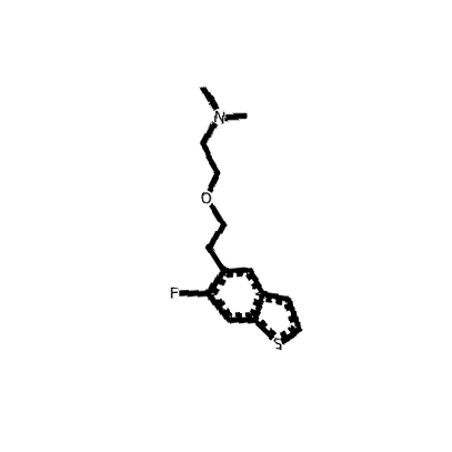 CN(C)CCOCCc1cc2ccsc2cc1F